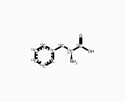 N[13C@@H]([13CH2][13c]1[13cH][13cH][13cH][13cH][13cH]1)[13C](=O)O